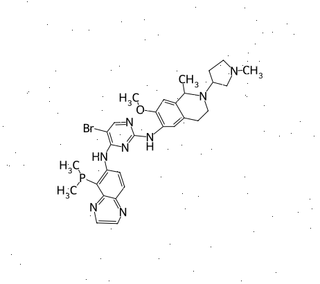 COc1cc2c(cc1Nc1ncc(Br)c(Nc3ccc4nccnc4c3P(C)C)n1)CCN(C1CCN(C)C1)C2C